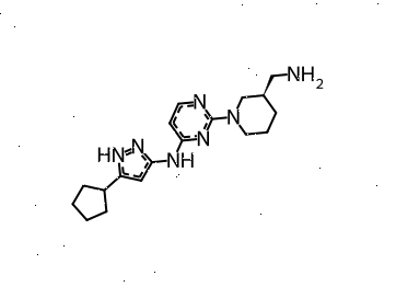 NC[C@H]1CCCN(c2nccc(Nc3cc(C4CCCC4)[nH]n3)n2)C1